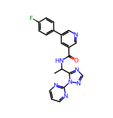 CC(NC(=O)c1cncc(-c2ccc(F)cc2)c1)c1ncnn1-c1ncccn1